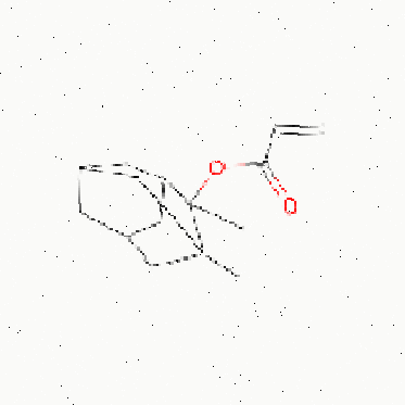 C=CC(=O)OC1(C)C2CC3CC(C2)CC1(C)C3